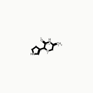 C=C1COC(C2=CNCC2)C(=O)N1